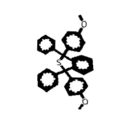 COc1ccc(C(SC(c2ccccc2)(c2ccccc2)c2ccc(OC)cc2)(c2ccccc2)c2ccccc2)cc1